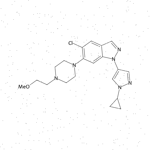 COCCN1CCN(c2cc3c(cnn3-c3cnn(C4CC4)c3)cc2Cl)CC1